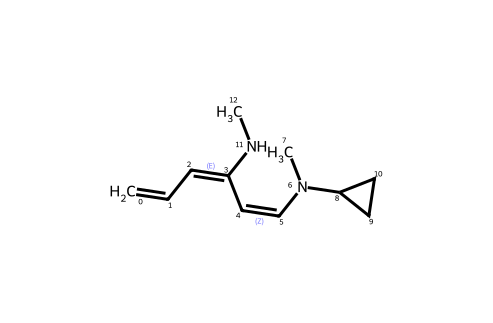 C=C/C=C(\C=C/N(C)C1CC1)NC